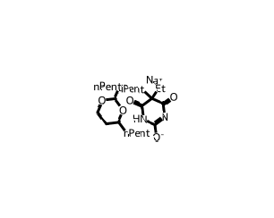 CCCC(C)C1(CC)C(=O)N=C([O-])NC1=O.CCCCCC1CCOC(CCCCC)O1.[Na+]